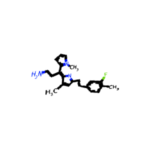 CC1=CC(/C=C/c2ccc(C)c(F)c2)=NC/1=C(/CCN)c1cccn1C